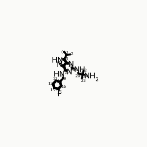 CC(C)c1[nH]nc2c(NCc3cccc(F)c3)nc(NCC(C)(C)N)nc12